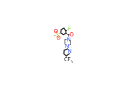 CS(=O)(=O)c1ccc(F)c(C(=O)N2CCN(c3ccc(C(F)(F)F)cn3)CC2)c1